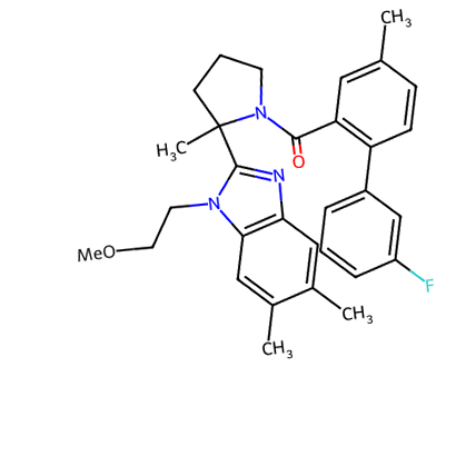 COCCn1c(C2(C)CCCN2C(=O)c2cc(C)ccc2-c2cccc(F)c2)nc2cc(C)c(C)cc21